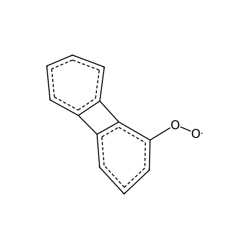 [O]Oc1cccc2c1-c1ccccc1-2